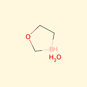 B1CCOC1.O